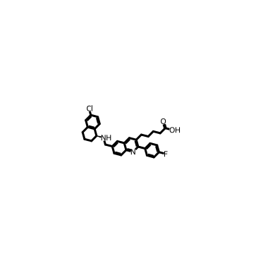 O=C(O)CCCCc1cc2cc(CN[C@H]3CCCc4cc(Cl)ccc43)ccc2nc1-c1ccc(F)cc1